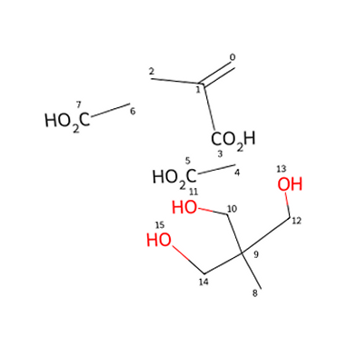 C=C(C)C(=O)O.CC(=O)O.CC(=O)O.CC(CO)(CO)CO